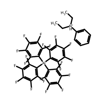 CC[NH+](CC)c1ccccc1.Fc1c(F)c(F)[c]([Al-]([c]2c(F)c(F)c(F)c(F)c2F)([c]2c(F)c(F)c(F)c(F)c2F)[c]2c(F)c(F)c(F)c(F)c2F)c(F)c1F